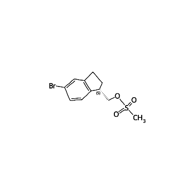 CS(=O)(=O)OC[C@H]1CCc2cc(Br)ccc21